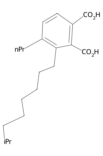 CCCc1ccc(C(=O)O)c(C(=O)O)c1CCCCCCC(C)C